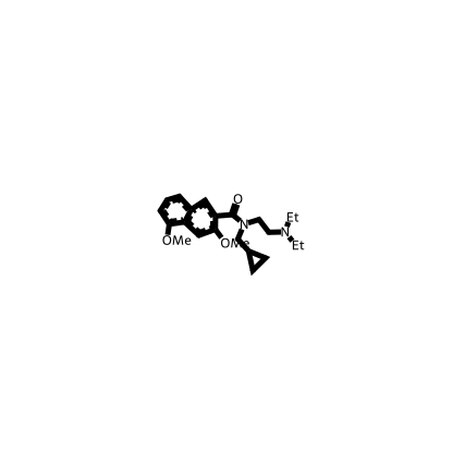 CCN(CC)CCN(CC1CC1)C(=O)c1cc2cccc(OC)c2cc1OC